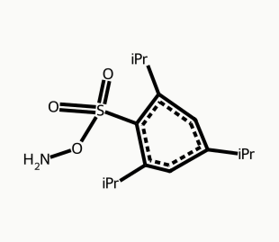 CC(C)c1cc(C(C)C)c(S(=O)(=O)ON)c(C(C)C)c1